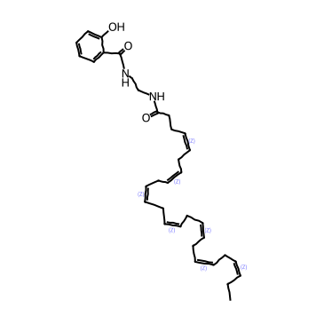 CC/C=C\C/C=C\C/C=C\C/C=C\C/C=C\C/C=C\C/C=C\CCC(=O)NCCNC(=O)c1ccccc1O